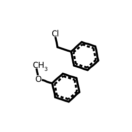 COc1ccccc1.ClCc1ccccc1